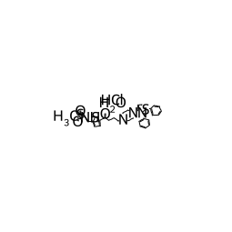 CS(=O)(=O)NCc1ccc(C(=O)CCCN2CCN(C3=CC=S(c4ccccc4)N3c3ccccc3)CC2)s1.Cl.O